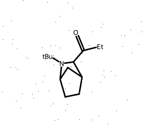 CCC(=O)C1C2CCC(C2)N1C(C)(C)C